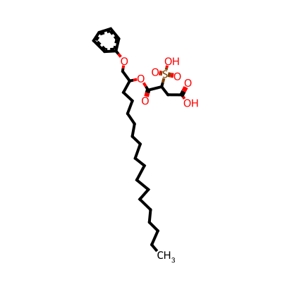 CCCCCCCCCCCCCCCCC(COc1ccccc1)OC(=O)C(CC(=O)O)S(=O)(=O)O